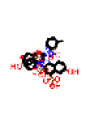 Cc1ccc2c(NC(=O)Nc3c4ccc(C)c3S(=O)(=O)N4c3cc(S(=O)(=O)O)c4cc(O)ccc4c3)c1S(=O)(=O)N2c1cc(S(=O)(=O)O)c2cc(O)ccc2c1